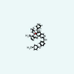 CN1CCC(Oc2ccc(Nc3ncc4cc(Nc5cccnc5)c(=O)n(Cc5ncn(C)c5[S+]([O-])CC(F)(F)F)c4n3)cc2)CC1